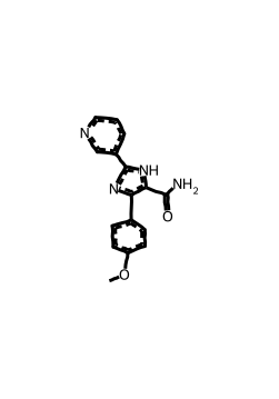 COc1ccc(-c2nc(-c3cccnc3)[nH]c2C(N)=O)cc1